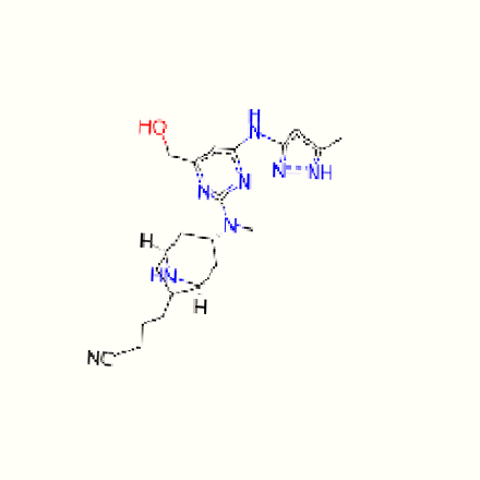 Cc1cc(Nc2cc(CO)nc(N(C)[C@H]3C[C@@H]4CC(CCCC#N)[C@H](C3)N4)n2)n[nH]1